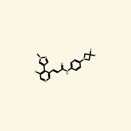 Cn1cc(-c2c(F)cncc2C=CC(=O)Nc2ccc(N3CC(F)(F)C3)cc2)cn1